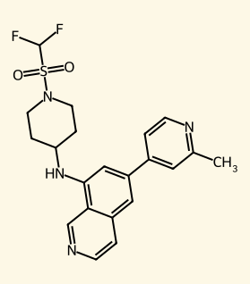 Cc1cc(-c2cc(NC3CCN(S(=O)(=O)C(F)F)CC3)c3cnccc3c2)ccn1